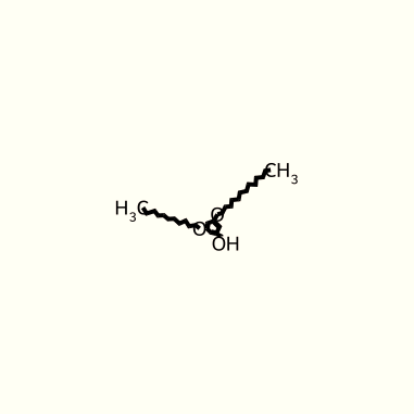 CCCCCCCCCCCCCOc1cc(CO)cc(OCCCCCCCCCCC)c1